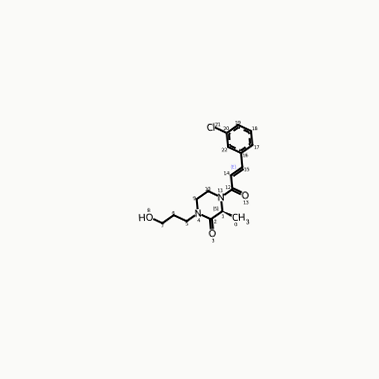 C[C@H]1C(=O)N(CCCO)CCN1C(=O)/C=C/c1cccc(Cl)c1